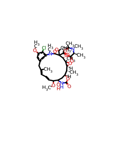 COc1cc2cc(c1Cl)N(C)C(=O)C(C(C)=O)(C(C)=O)[C@H](OC(=O)[C@H](C)N(C)C(C)=O)[C@]1(C)O[C@H]1[C@H](C)[C@@H]1C[C@@](O)(NC(=O)O1)C(OC)/C=C/C=C(\C)C2